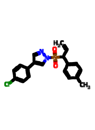 C=CC(c1ccc(C)cc1)S(=O)(=O)n1cc(-c2ccc(Cl)cc2)cn1